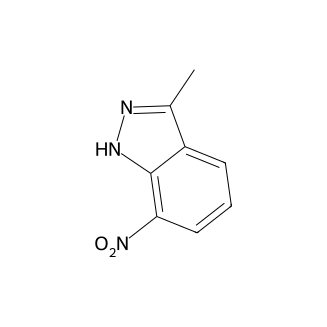 Cc1n[nH]c2c([N+](=O)[O-])cccc12